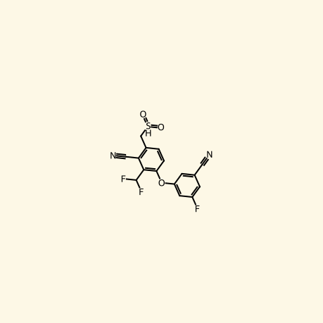 N#Cc1cc(F)cc(Oc2ccc(C[SH](=O)=O)c(C#N)c2C(F)F)c1